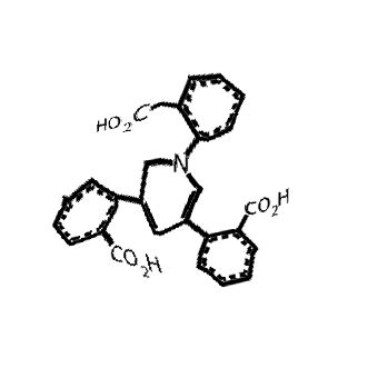 O=C(O)c1ccccc1C1=CN(c2ccccc2C(=O)O)CC(c2ccccc2C(=O)O)=C1